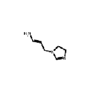 NC=CCN1C=NCC1